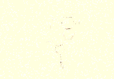 CCCc1cc(C#N)sc1-c1ccc2c(c1)C(C)(C)OC(=S)N2